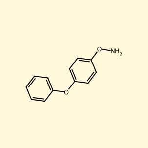 NOc1ccc(Oc2ccccc2)cc1